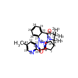 [2H]C([2H])([2H])C1([2H])C2CC(Oc3ccc(C)cn3)C(C2)N1C(=O)c1ccccc1-n1nccn1